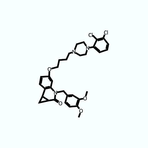 COc1ccc(CN2C(=O)C3CC3c3ccc(OCCCCN4CCN(c5cccc(Cl)c5Cl)CC4)cc32)cc1OC